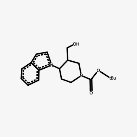 CC(C)(C)OC(=O)N1CCC(n2ccc3ccccc32)C(CO)C1